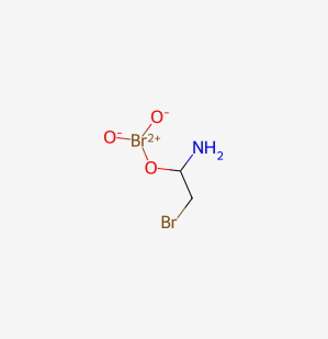 NC(CBr)O[Br+2]([O-])[O-]